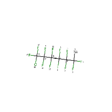 F[C](F)([Na])C(F)(F)C(F)(F)C(F)(F)C(F)(F)C(F)(F)Cl